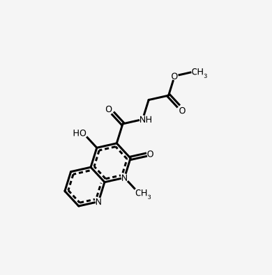 COC(=O)CNC(=O)c1c(O)c2cccnc2n(C)c1=O